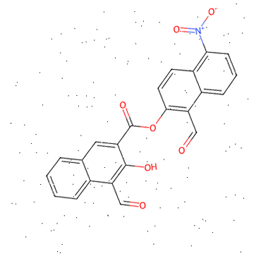 O=Cc1c(O)c(C(=O)Oc2ccc3c([N+](=O)[O-])cccc3c2C=O)cc2ccccc12